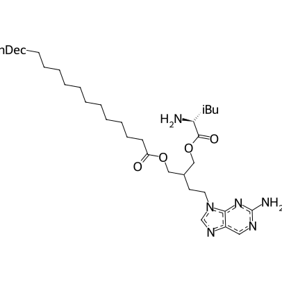 CCCCCCCCCCCCCCCCCCCCCC(=O)OCC(CCn1cnc2cnc(N)nc21)COC(=O)[C@@H](N)[C@@H](C)CC